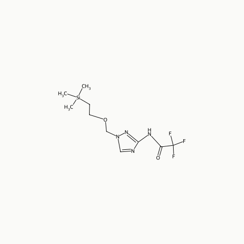 C[Si](C)(C)CCOCn1cnc(NC(=O)C(F)(F)F)n1